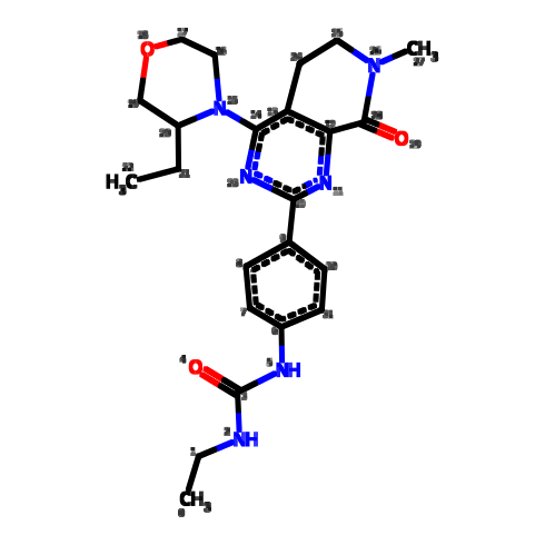 CCNC(=O)Nc1ccc(-c2nc3c(c(N4CCOCC4CC)n2)CCN(C)C3=O)cc1